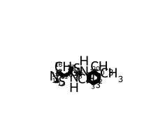 Cc1cccc(NC2(C)NC(c3scnc3C)=CS2)c1C